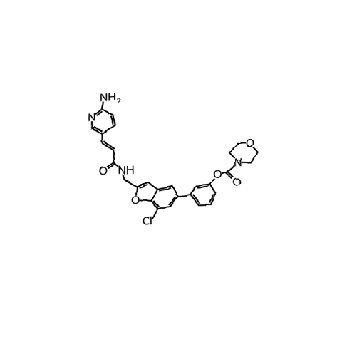 Nc1ccc(/C=C/C(=O)NCc2cc3cc(-c4cccc(OC(=O)N5CCOCC5)c4)cc(Cl)c3o2)cn1